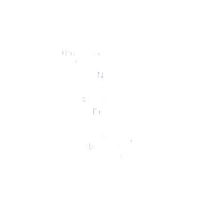 CCC1(CC)c2cc(OC(=O)OC(C)(C)C)ccc2CC2C1N2C(=O)OC(C)(C)C